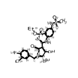 CCOP1(=O)N=C(C2=C(O)[C@H](C(C)(C)C)N(Cc3ccc(F)c(Cl)c3)C2=O)Nc2ccc(NS(C)(=O)=O)cc21